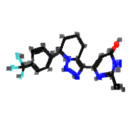 Cc1nc(-c2nnn3c2CCCC3c2ccc(C(F)(F)F)cc2)cc(=O)[nH]1